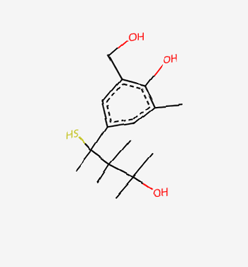 Cc1cc(C(C)(S)C(C)(C)C(C)(C)O)cc(CO)c1O